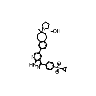 CC1(N2CCC[C@@H]2CO)CCc2ccc(-c3cnc4[nH]nc(-c5ccc(S(=O)(=O)C6CC6)cc5)c4c3)cc2CC1